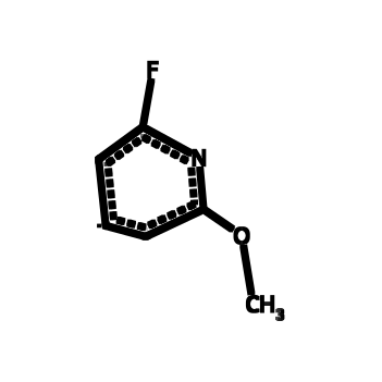 COc1c[c]cc(F)n1